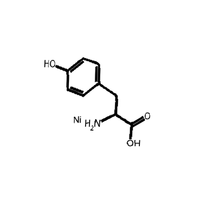 NC(Cc1ccc(O)cc1)C(=O)O.[Ni]